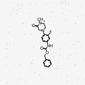 CN1CCN(c2ccc(NC(=O)OCc3ccccc3)cc2F)CC1=O